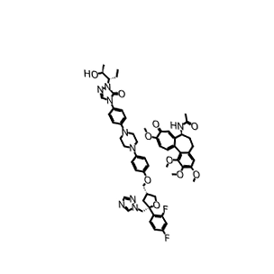 CC[C@@H]([C@H](C)O)n1ncn(-c2ccc(N3CCN(c4ccc(OC[C@@H]5CO[C@@](Cn6cncn6)(c6ccc(F)cc6F)C5)cc4)CC3)cc2)c1=O.COc1cc2c(c(OC)c1OC)-c1ccc(OC)c(=O)cc1[C@@H](NC(C)=O)CC2